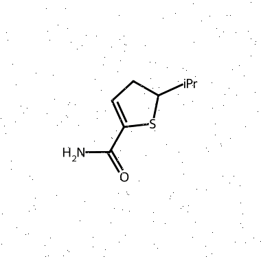 CC(C)C1CC=C(C(N)=O)S1